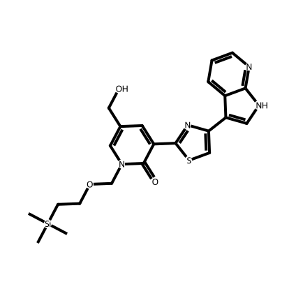 C[Si](C)(C)CCOCn1cc(CO)cc(-c2nc(-c3c[nH]c4ncccc34)cs2)c1=O